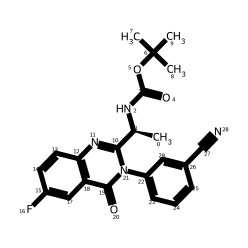 C[C@H](NC(=O)OC(C)(C)C)c1nc2ccc(F)cc2c(=O)n1-c1cccc(C#N)c1